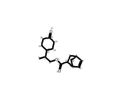 CC(COC(=O)C1CC2C=CC1C2)C1CCC(=O)CC1